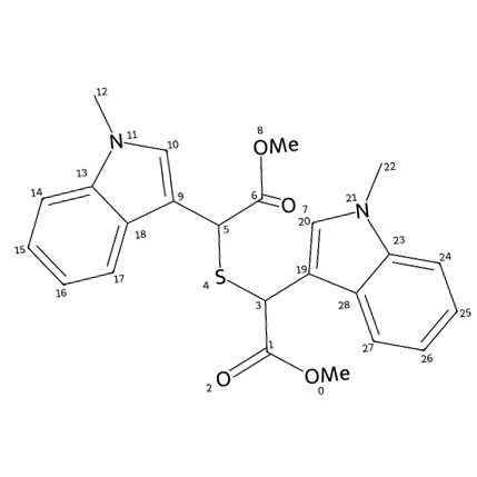 COC(=O)C(SC(C(=O)OC)c1cn(C)c2ccccc12)c1cn(C)c2ccccc12